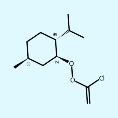 C=C(Cl)OO[C@H]1C[C@@H](C)CC[C@@H]1C(C)C